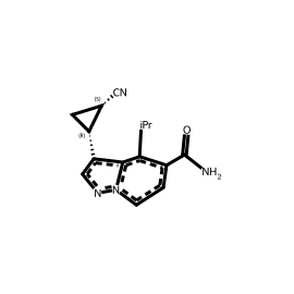 CC(C)c1c(C(N)=O)ccn2ncc([C@@H]3C[C@@H]3C#N)c12